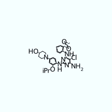 CC(C)Oc1cc(N2CCC(O)CC2)ccc1Nc1nc(N)c(Cl)c(Nc2ccccc2S(C)(=O)=O)n1